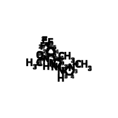 CCN1CCC[C@@H](Nc2cc(C)c(-c3ccc(C(F)(F)F)cc3NC(C)=O)nn2)C1